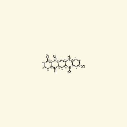 O=c1c2cc(Cl)ccc2[nH]c2cc3c(=O)c4c(Cl)cccc4[nH]c3cc12